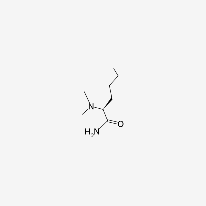 CCCC[C@@H](C(N)=O)N(C)C